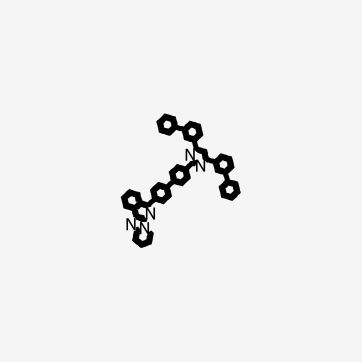 c1ccc(-c2cccc(-c3cc(-c4cccc(-c5ccccc5)c4)nc(-c4ccc(-c5ccc(-c6nc7c(nc8ccccn87)c7ccccc67)cc5)cc4)n3)c2)cc1